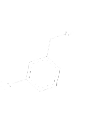 [C-]#[N+]Cc1cccc([N+](=O)[O-])c1